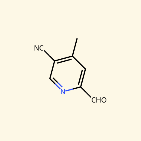 Cc1cc(C=O)ncc1C#N